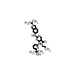 C=CCn1c(=O)c2cnc(Nc3ccc4c(c3)CN(C(C)C)C4)nc2n1-c1cccc(C(C)(C)O)n1